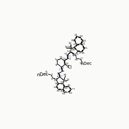 CCCCCCCCCCCCN1/C(=C/C=C2\CCCC(/C=C/C3=[N+](CCCCCCCCCCCC)c4ccc5ccccc5c4C3(C)C)=C2Cl)C(C)(C)c2c1ccc1ccccc21